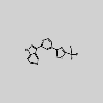 FC(F)(F)c1nc(-c2ccnc(-c3n[nH]c4cccnc34)c2)no1